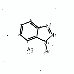 Brn1nnc2ccccc21.[Ag]